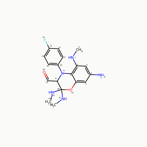 CNc1cc(N)cc2c1N(c1ccc(F)cc1)C(C=O)C(NC)(NC)O2